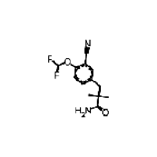 CC(C)(Cc1ccc(OC(F)F)c(C#N)c1)C(N)=O